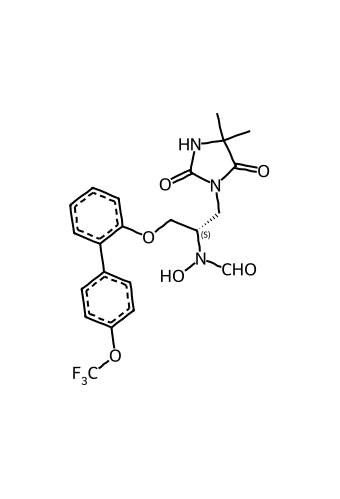 CC1(C)NC(=O)N(C[C@@H](COc2ccccc2-c2ccc(OC(F)(F)F)cc2)N(O)C=O)C1=O